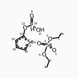 CCO[Se](=O)(=O)OCC.O=[PH](O)Oc1ccc[se]1